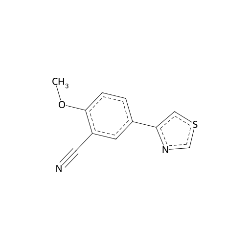 COc1ccc(-c2cscn2)cc1C#N